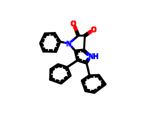 O=C1C(=O)N(c2ccccc2)c2c1[nH]c(-c1ccccc1)c2-c1ccccc1